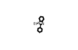 CCn1c(-c2cc[c]cc2)nc2ccccc21